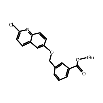 CC(C)(C)OC(=O)c1cccc(COc2ccc3nc(Cl)ccc3c2)c1